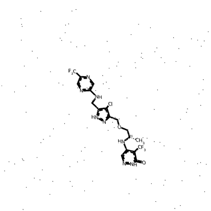 C[C@@H](COCc1n[nH]c(CNc2cnc(C(F)(F)F)cn2)c1Cl)Nc1cn[nH]c(=O)c1C(F)(F)F